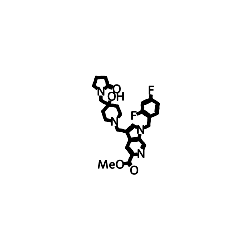 COC(=O)c1cc2c(CN3CCC(O)(CN4CCCC4=O)CC3)cn(Cc3ccc(F)cc3F)c2cn1